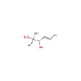 [CH2]CC=CC(O)C(O)(CCC)CCC